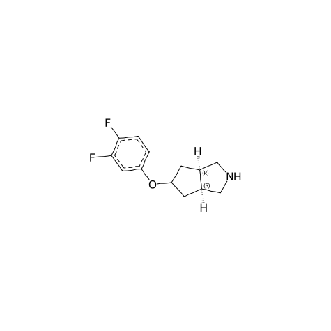 Fc1ccc(OC2C[C@H]3CNC[C@H]3C2)cc1F